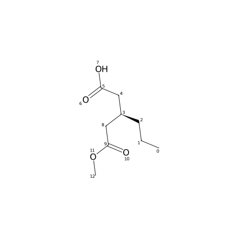 CCC[C@H](CC(=O)O)CC(=O)OC